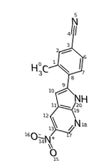 Cc1cc(C#N)ccc1-c1cc2cc([N+](=O)[O-])cnc2[nH]1